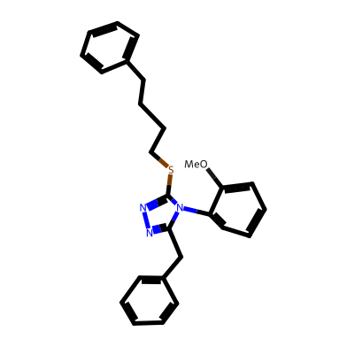 COc1ccccc1-n1c(Cc2ccccc2)nnc1SCCCCc1ccccc1